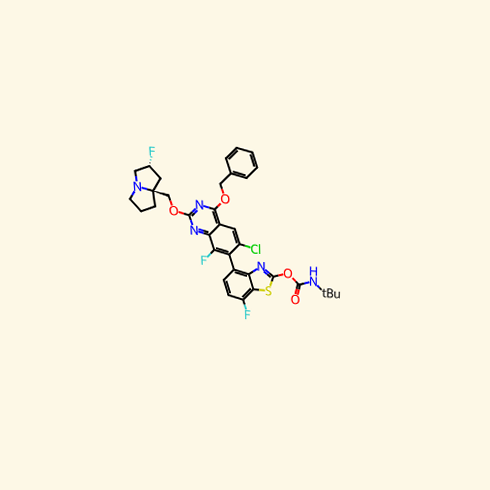 CC(C)(C)NC(=O)Oc1nc2c(-c3c(Cl)cc4c(OCc5ccccc5)nc(OC[C@@]56CCCN5C[C@H](F)C6)nc4c3F)ccc(F)c2s1